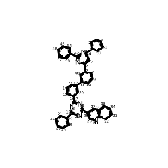 c1ccc(-c2cc(-c3cccc(-c4cccc(-c5nc(-c6ccccc6)nc(-c6cnc7ccccc7c6)n5)c4)c3)nc(-c3ccccc3)n2)cc1